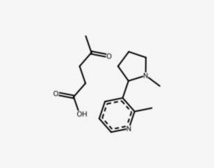 CC(=O)CCC(=O)O.Cc1ncccc1C1CCCN1C